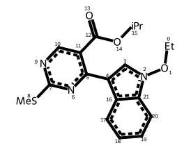 CCOn1cc(-c2nc(SC)ncc2C(=O)OC(C)C)c2ccccc21